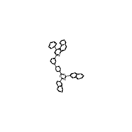 c1ccc(-c2cc(-c3cccc(-c4ccc(-c5nc(-c6ccc7ccccc7c6)nc(-c6ccc7ccccc7c6)n5)cc4)c3)nc3ccc4ccccc4c23)cc1